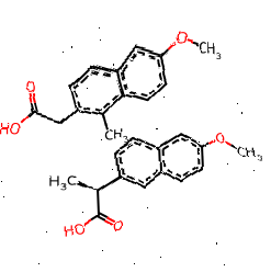 COc1ccc2c(C)c(CC(=O)O)ccc2c1.COc1ccc2cc([C@H](C)C(=O)O)ccc2c1